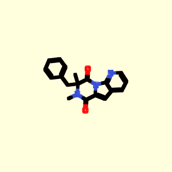 CN1C(=O)c2cc3cccnc3n2C(=O)C1(C)Cc1ccccc1